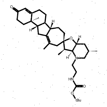 CC1=C2C[C@H]3C(CCC4=CC(=O)CC[C@@]43C)[C@@H]2CC[C@@]2(C1)O[C@@H]1C[C@H](C)CN(CCNC(=O)OC(C)(C)C)[C@H]1[C@H]2C